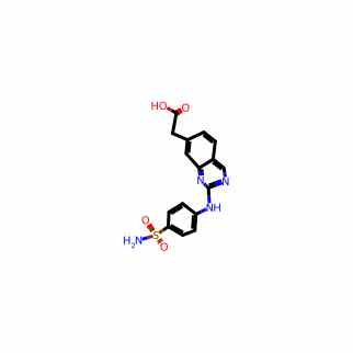 NS(=O)(=O)c1ccc(Nc2ncc3ccc(CC(=O)O)cc3n2)cc1